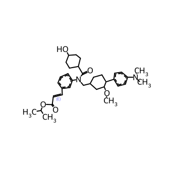 COC1CC(CN(C(=O)C2CCC(O)CC2)c2cccc(/C=C/C(=O)OC(C)C)c2)CCC1c1ccc(N(C)C)cc1